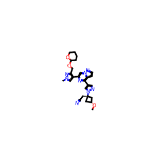 CO[C@H]1C[C@@](CC#N)(n2cc(-c3nc(-c4cn(C)nc4COC4CCCCO4)cn4nccc34)cn2)C1